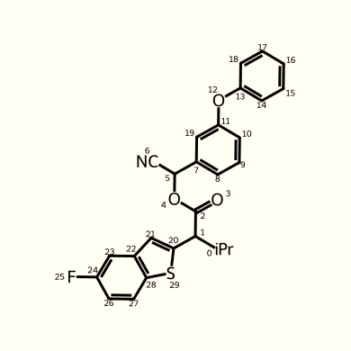 CC(C)C(C(=O)OC(C#N)c1cccc(Oc2ccccc2)c1)c1cc2cc(F)ccc2s1